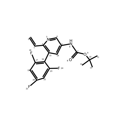 C=Cc1ncc(NC(=O)OC(C)(C)C)cc1-c1c(F)cc(F)cc1F